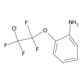 Nc1ccccc1OC(F)(F)C(F)(F)Cl